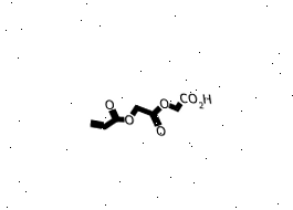 C=CC(=O)OCC(=O)OCC(=O)O